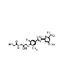 CCc1cc(-c2noc(-c3cc(OC)cc(C(CC)CC)n3)n2)cc(C)c1OC[C@@H](O)CNC(=O)CO